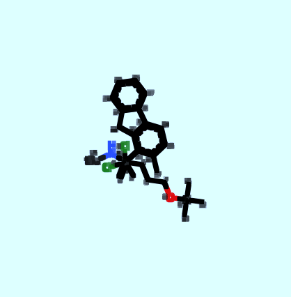 [CH2]=[Zr]([CH3])([Cl])([Cl])([CH2]CCO[Si](C)(C)C)([NH]C(C)(C)C)[c]1c(C)ccc2c1Cc1ccccc1-2